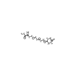 CCC(=O)NCCOCCOCCOC1CCN(C)CC1